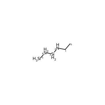 CCN[SiH2][SiH2][SiH3]